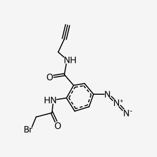 C#CCNC(=O)c1cc(N=[N+]=[N-])ccc1NC(=O)CBr